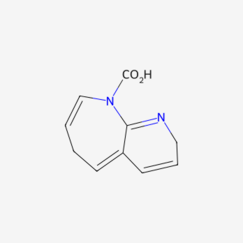 O=C(O)N1C=CCC=C2C=CCN=C21